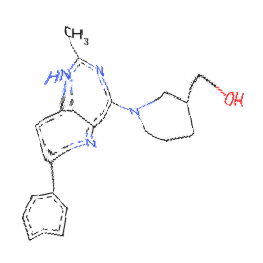 Cc1nc(N2CCCC(CO)C2)c2nc(-c3ccccc3)cc-2[nH]1